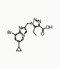 CCc1c(C(=O)O)nnn1Cc1cn2cc(C3CC3)cc(Br)c2n1